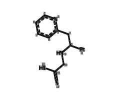 CCC(Cc1ccccn1)NCC(=S)S